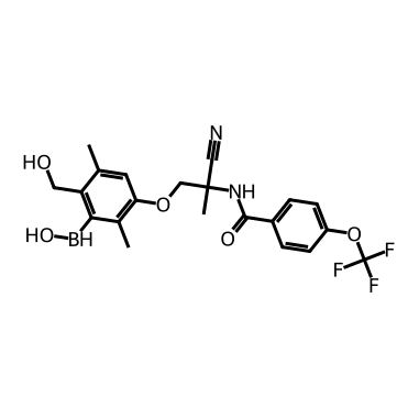 Cc1cc(OCC(C)(C#N)NC(=O)c2ccc(OC(F)(F)F)cc2)c(C)c(BO)c1CO